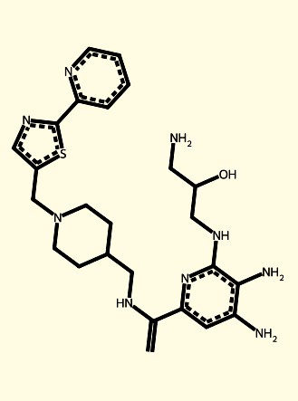 C=C(NCC1CCN(Cc2cnc(-c3ccccn3)s2)CC1)c1cc(N)c(N)c(NCC(O)CN)n1